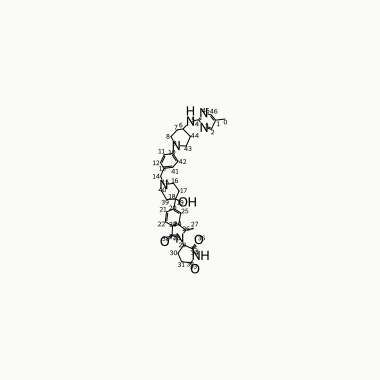 Cc1cnc(NC2CCN(c3ccc(CN4CCC(O)(c5ccc6c(c5)[C@@H](C)N([C@H]5CCC(=O)NC5=O)C6=O)CC4)cc3)CC2)nc1